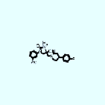 CC(=O)c1cccc(N(C[C@](C)(O)CN2CCC(c3ccc(F)cc3)CC2C)C(N)=O)c1